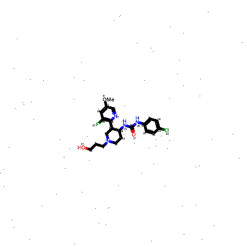 COc1cnc(C2CN(CCCO)CCC2NC(=O)Nc2ccc(Cl)cc2)c(F)c1